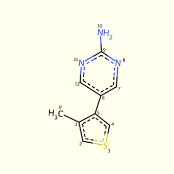 Cc1cscc1-c1cnc(N)nc1